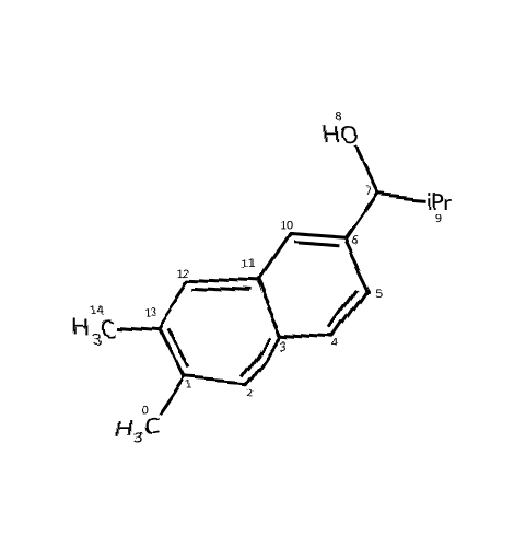 Cc1cc2ccc(C(O)C(C)C)cc2cc1C